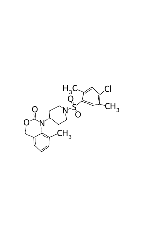 Cc1cc(S(=O)(=O)N2CCC(N3C(=O)OCc4cccc(C)c43)CC2)c(C)cc1Cl